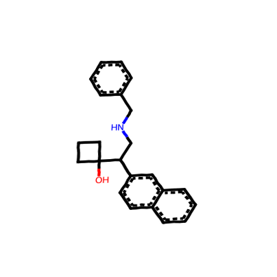 OC1(C(CNCc2ccccc2)c2ccc3ccccc3c2)CCC1